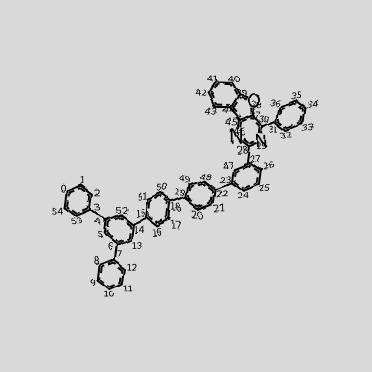 c1ccc(-c2cc(-c3ccccc3)cc(-c3ccc(-c4ccc(-c5cccc(-c6nc(-c7ccccc7)c7oc8ccccc8c7n6)c5)cc4)cc3)c2)cc1